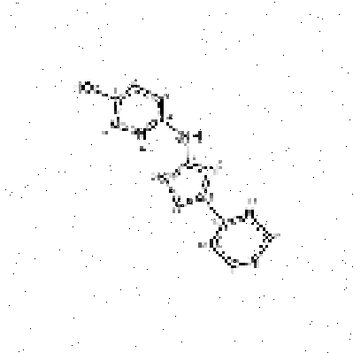 Oc1ccc(Nc2nc(-c3ccccn3)cs2)nc1